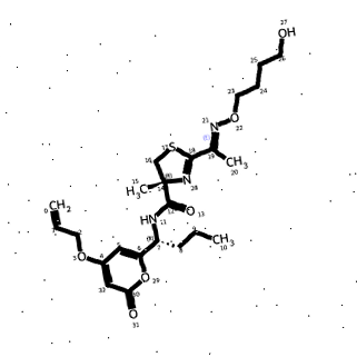 C=CCOc1cc([C@@H](CCC)NC(=O)[C@]2(C)CSC(/C(C)=N/OCCCCO)=N2)oc(=O)c1